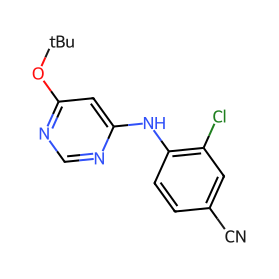 CC(C)(C)Oc1cc(Nc2ccc(C#N)cc2Cl)ncn1